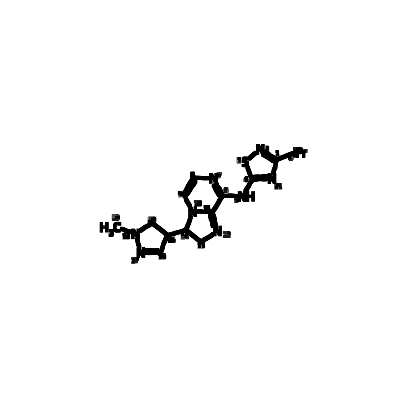 CC(C)c1nsc(NC2=NC=CN3C2=NCC3C2C=NN(C)C2)n1